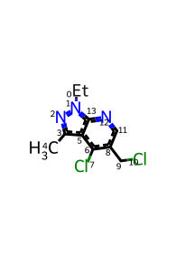 CCn1nc(C)c2c(Cl)c(CCl)cnc21